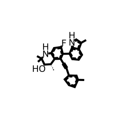 Cc1cccc(C#Cc2c(-c3cccc4c(C)c[nH]c34)c(F)cc3c2[C@H](C)[C@@H](O)C(C)(C)N3)c1